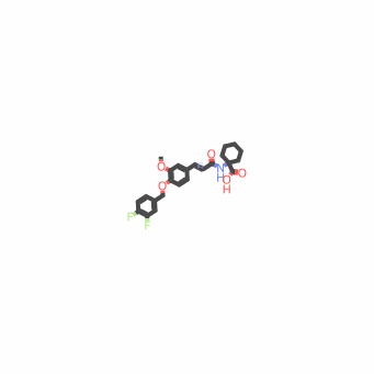 COc1cc(/C=C/C(=O)NC2(C(=O)O)CCCCC2)ccc1OCc1ccc(F)c(F)c1